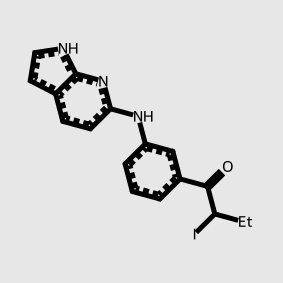 CCC(I)C(=O)c1cccc(Nc2ccc3cc[nH]c3n2)c1